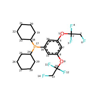 FCC(F)(F)Oc1cc(OC(F)(F)CF)cc(P(C2CCCCC2)C2CCCCC2)c1